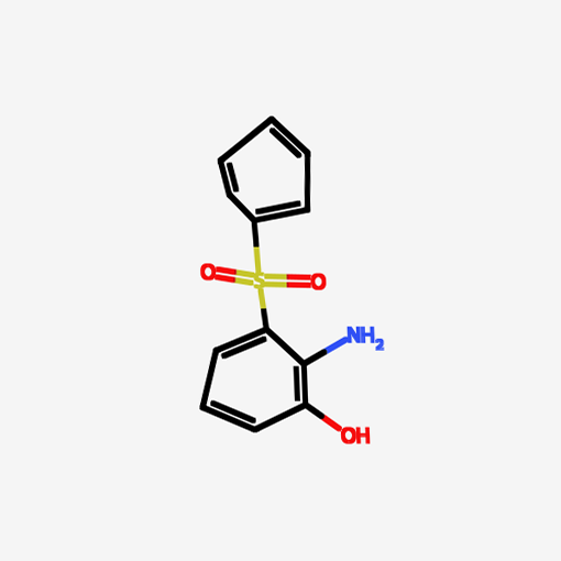 Nc1c(O)cccc1S(=O)(=O)c1ccccc1